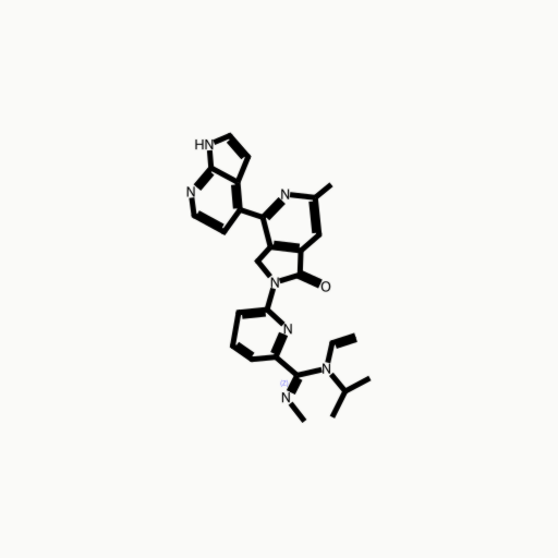 C=CN(/C(=N\C)c1cccc(N2Cc3c(cc(C)nc3-c3ccnc4[nH]ccc34)C2=O)n1)C(C)C